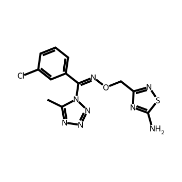 Cc1nnnn1C(=NOCc1nsc(N)n1)c1cccc(Cl)c1